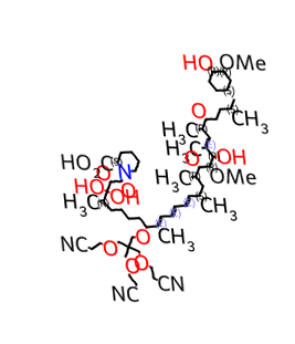 CO[C@@H]1C[C@H](C[C@@H](C)CCC(=O)[C@H](C)/C=C(\C)[C@@H](O)[C@@H](OC)C(=O)[C@H](C)C[C@H](C)/C=C/C=C/C=C(\C)C(CCCC[C@@H](C)C(O)(O)C(=O)C(=O)N2CCCC[C@H]2C(=O)O)OCC(COCCC#N)(COCCC#N)COCCC#N)CC[C@H]1O